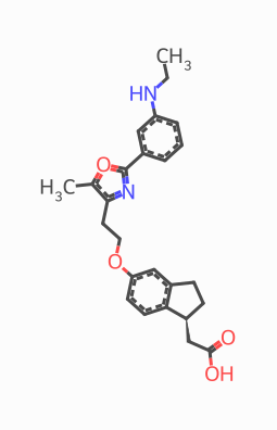 CCNc1cccc(-c2nc(CCOc3ccc4c(c3)CC[C@H]4CC(=O)O)c(C)o2)c1